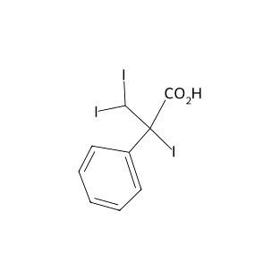 O=C(O)C(I)(c1ccccc1)C(I)I